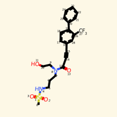 CS(=O)(=O)NCCCN(CCO)C(=O)C#Cc1ccc(-c2ccccc2)c(C(F)(F)F)c1